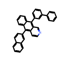 c1ccc(-c2cccc(-c3c4ccccc4c(-c4ccc5ccccc5c4)c4ccncc34)c2)cc1